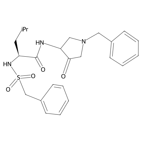 CC(C)C[C@H](NS(=O)(=O)Cc1ccccc1)C(=O)NC1CN(Cc2ccccc2)CC1=O